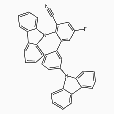 N#Cc1cc(F)cc(-c2cccc(-n3c4ccccc4c4ccccc43)c2)c1-n1c2ccccc2c2ccccc21